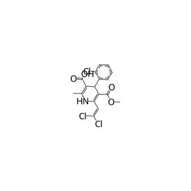 COC(=O)C1=C(C=C(Cl)Cl)NC(C)=C(C(=O)O)C1c1ccccc1Cl